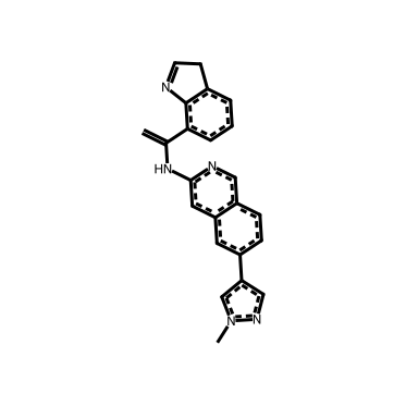 C=C(Nc1cc2cc(-c3cnn(C)c3)ccc2cn1)c1cccc2c1N=CC2